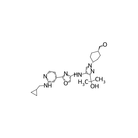 CC(C)(O)c1nn([C@H]2CC[C@H](C=O)CC2)cc1NCc1coc(-c2ccnc(NCC3CC3)c2)n1